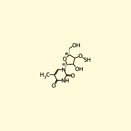 Cc1cn([C@@H]2O[C@H](CO)C(OS)C2O)c(=O)[nH]c1=O